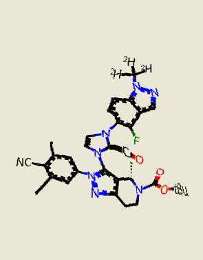 [2H]C([2H])([2H])n1ncc2c(F)c(N3C=CN(c4c5c(nn4-c4cc(C)c(C#N)c(C)c4)CCN(C(=O)OC(C)(C)C)[C@H]5C)C3=C=O)ccc21